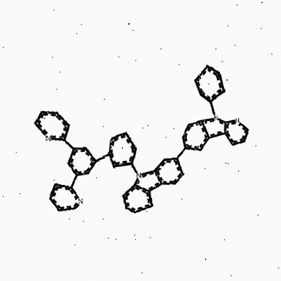 c1ccc(-n2c3ccc(-c4ccc5c6ccccc6n(-c6cccc(-c7cc(-c8ccccn8)cc(-c8ccccn8)c7)c6)c5c4)cc3c3cccnc32)cc1